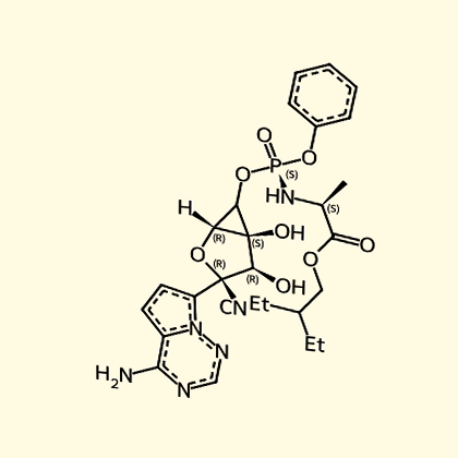 CCC(CC)COC(=O)[C@H](C)N[P@@](=O)(Oc1ccccc1)OC1[C@H]2O[C@@](C#N)(c3ccc4c(N)ncnn34)[C@H](O)[C@@]12O